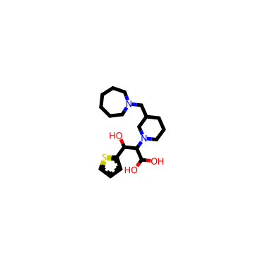 OC(O)C(C(O)c1cccs1)N1CCCC(CN2CCCCCC2)C1